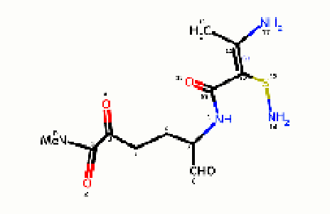 CNC(=O)C(=O)CCC(C=O)NC(=O)/C(SN)=C(\C)N